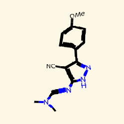 COc1ccc(-c2n[nH]c(N=CN(C)C)c2C#N)cc1